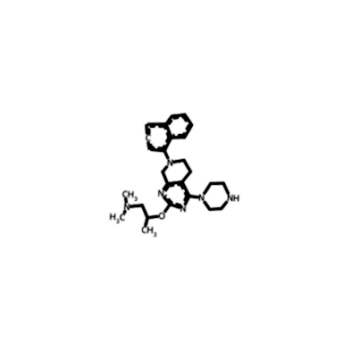 CC(CN(C)C)Oc1nc2c(c(N3CCNCC3)n1)CCN(c1cccc3ccccc13)C2